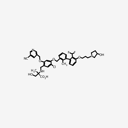 Cc1c(COc2cc(OCc3cncc(C#N)c3)c(CN[C@@](C)(CO)C(=O)O)cc2Cl)cccc1-c1cccc(OCCCN2CCC(O)C2)c1C(F)F